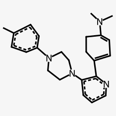 Cc1ccc(N2CCN(c3cccnc3C3=CC=C(N(C)C)CC3)CC2)cc1